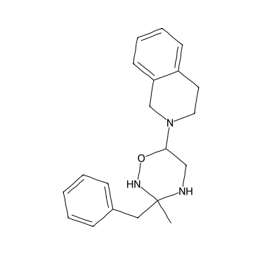 CC1(Cc2ccccc2)NCC(N2CCc3ccccc3C2)ON1